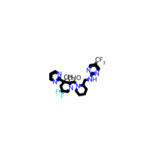 C[C@@]1(c2ncccn2)CC(F)(F)C=N[C@]1(C=O)CN1CCCCC1CNc1ncc(C(F)(F)F)cn1